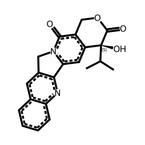 CC(C)[C@@]1(O)C(=O)OCc2c1cc1n(c2=O)Cc2cc3ccccc3nc2-1